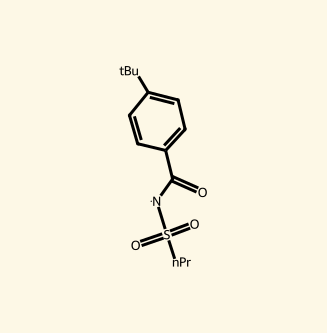 CCCS(=O)(=O)[N]C(=O)c1ccc(C(C)(C)C)cc1